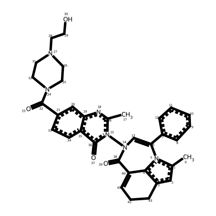 Cc1cc2c3n1C(c1ccccc1)=CN(n1c(C)nc4cc(C(=O)N5CCN(CCO)CC5)ccc4c1=O)C(=O)C3=CCC2